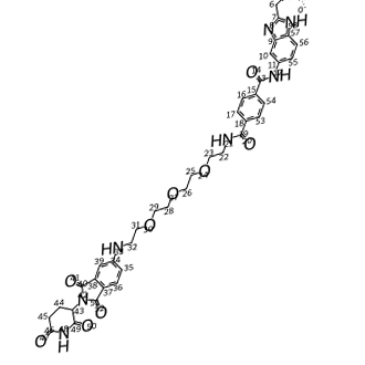 C[C@H]1CCCN1Cc1nc2cc(NC(=O)c3ccc(C(=O)NCCOCCOCCOCCNc4ccc5c(c4)C(=O)N(C4CCC(=O)NC4=O)C5=O)cc3)ccc2[nH]1